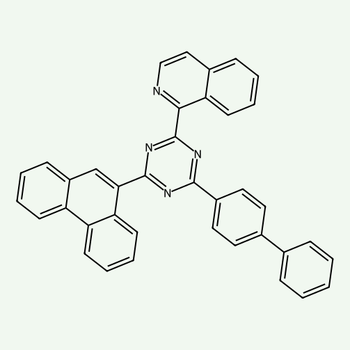 c1ccc(-c2ccc(-c3nc(-c4nccc5ccccc45)nc(-c4cc5ccccc5c5ccccc45)n3)cc2)cc1